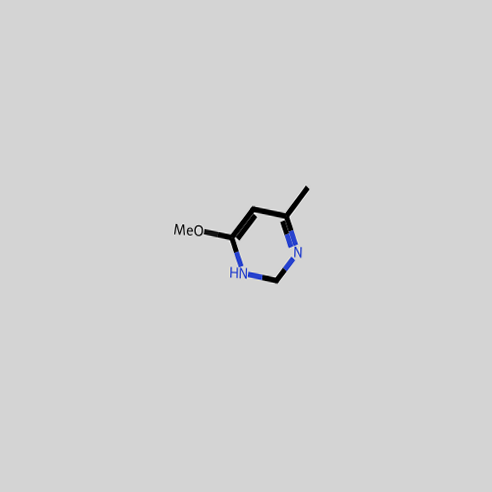 COC1=CC(C)=NCN1